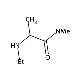 CCNC(C)C(=O)NC